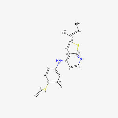 C=CSc1ccc(Nc2ccnc3sc(/C(=C/CCC)C(C)C)cc23)cc1C